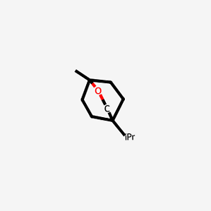 CC(C)C12CCC(C)(CC1)OC2